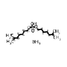 CC(C)CCCCCOP(=O)(O)OCCCCCC(C)C.N